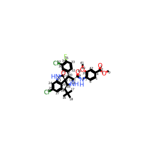 COC(=O)c1ccc(NC(=O)[C@@H]2N[C@@H](CC(C)(C)C)[C@@]3(C(=O)Nc4cc(Cl)ccc43)[C@H]2c2ccc(F)c(Cl)c2)c(OC)c1